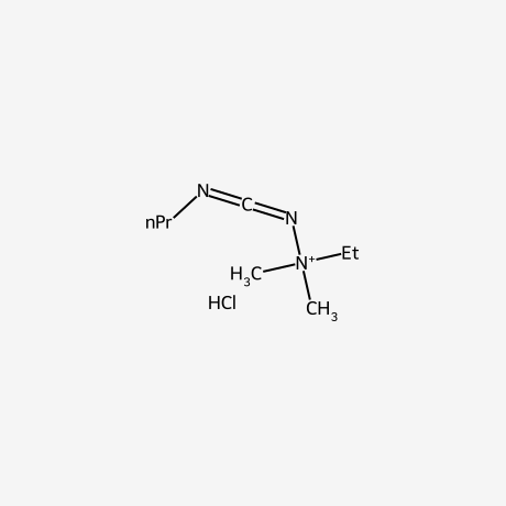 CCCN=C=N[N+](C)(C)CC.Cl